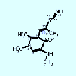 CNc1cn(C)c(C)c(/C=C(\C)SC=N)c1=O